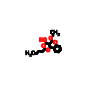 CCCCCOC(=C(C(=O)O)C(=O)OCC)c1ccccc1